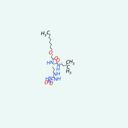 CCCCCCCCOCCC(=O)N[C@@H](CCCNC(=N)N[N+](=O)[O-])C(=O)N[CH]CC(C)C